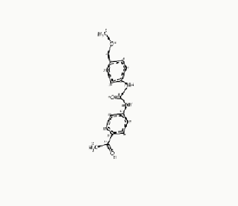 COCc1ccc(NC(=O)Nc2ccc(C(C)=O)cc2)cc1